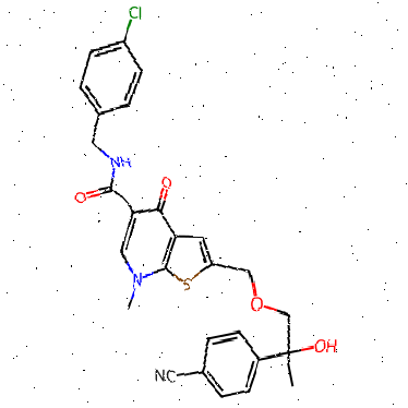 Cn1cc(C(=O)NCc2ccc(Cl)cc2)c(=O)c2cc(COCC(C)(O)c3ccc(C#N)cc3)sc21